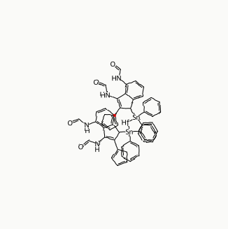 O=CNC1=C(C2=CC=CC2)[CH]([Sn]([Hf][Sn]([c]2ccccc2)([c]2ccccc2)[CH]2C(C3=CC=CC3)=C(NC=O)c3c(NC=O)cccc32)([c]2ccccc2)[c]2ccccc2)c2cccc(NC=O)c21